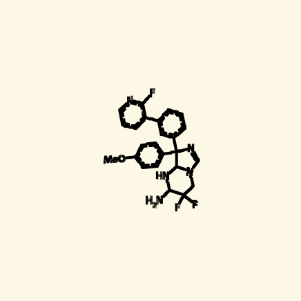 COc1ccc(C2(c3cccc(-c4cccnc4F)c3)N=CN3CC(F)(F)C(N)NC32)cc1